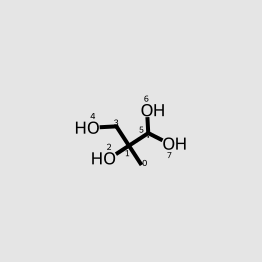 CC(O)(CO)[C](O)O